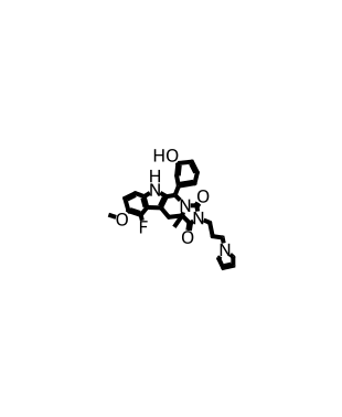 COc1ccc2[nH]c3c(c2c1F)CC1(C)C(=O)N(CCCN2CC=CC2)C(=O)N1C3c1cccc(O)c1